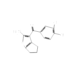 Nc1sc2c(c1C(=O)c1ccc(Cl)c(Cl)c1)CCC2